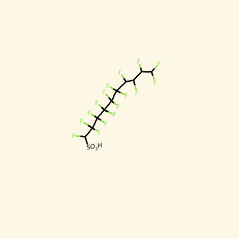 O=S(=O)(O)C(F)C(F)(F)C(F)(F)C(F)(F)C(F)(F)C(F)(F)C(F)C(F)C(F)C(F)F